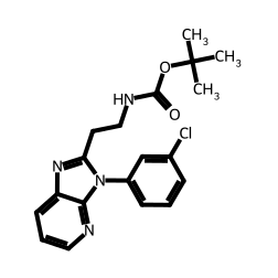 CC(C)(C)OC(=O)NCCc1nc2cccnc2n1-c1cccc(Cl)c1